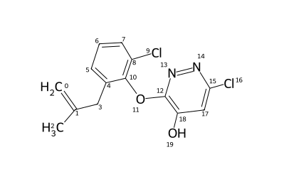 C=C(C)Cc1cccc(Cl)c1Oc1nnc(Cl)cc1O